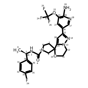 C[C@@H](NC(=O)N1CCC2(C1)OCCn1nc(-c3cnc(N)c(OC(F)(F)F)c3)cc12)c1ccc(F)cc1